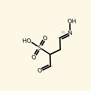 O=[C]C(C/[C]=N/O)S(=O)(=O)O